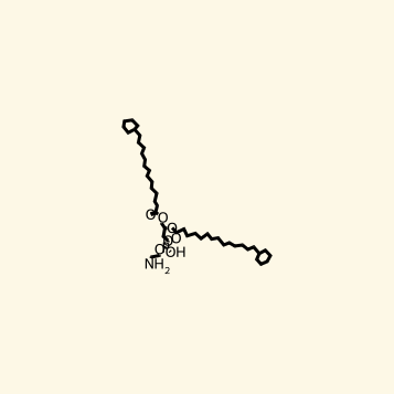 NCCOP(O)OCC(COC(=O)CCCCCCCCCCCCCC1CCCCC1)OC(=O)CCCCCCCCCCCCCC1CCCCC1